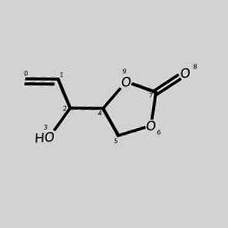 C=CC(O)C1COC(=O)O1